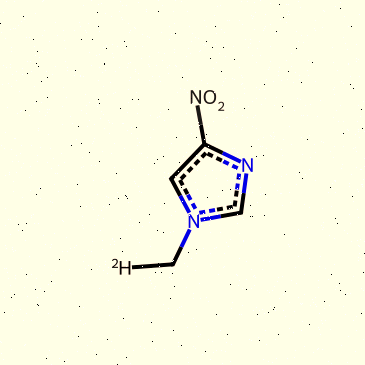 [2H]Cn1cnc([N+](=O)[O-])c1